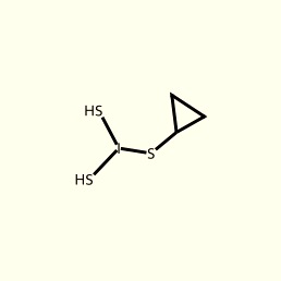 SI(S)SC1CC1